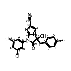 CC1(Cc2ccc(Br)cc2)C(=O)N(c2cc(Cl)cc(Cl)c2)c2nc(C#N)cn21